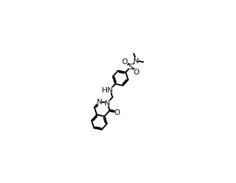 CN(C)S(=O)(=O)c1ccc(NCn2ncc3ccccc3c2=O)cc1